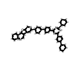 c1ccc(-c2ccc(-c3nc(-c4ccccc4)nc(-c4ccc(-c5ccc(-c6cc7c(cn6)oc6c8ccccc8ncc76)cc5)cc4)n3)cc2)cc1